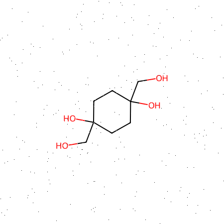 OCC1(O)CCC(O)(CO)CC1